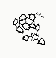 Cc1ccc2c(c1)-n1c3cccc(-c4nc(-c5ccccc5)nc(-c5ccccc5)n4)c3c3ccc4c(c31)-c1c-2cccc1C41c2ccccc2-c2ccccc21